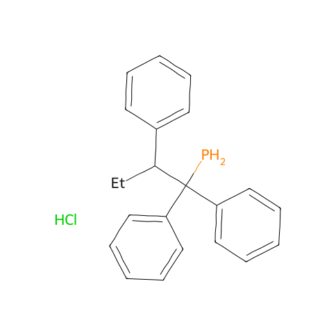 CCC(c1ccccc1)C(P)(c1ccccc1)c1ccccc1.Cl